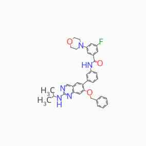 CC(C)Nc1ncc2cc(-c3cccc(NC(=O)c4cc(F)cc(N5CCOCC5)c4)c3)c(OCc3ccccc3)cc2n1